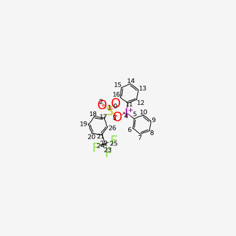 O=S(=O)(O[I+](c1ccccc1)c1ccccc1)c1cccc(C(F)(F)F)c1